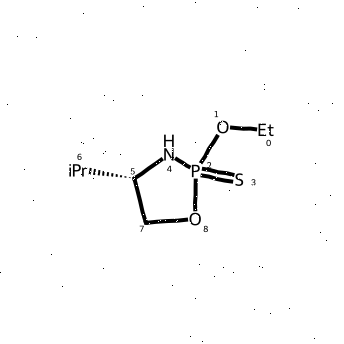 CCOP1(=S)N[C@@H](C(C)C)CO1